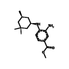 COC(=O)c1ccc(N[C@@H]2C[C@H](C)CC(C)(C)C2)c(N)c1